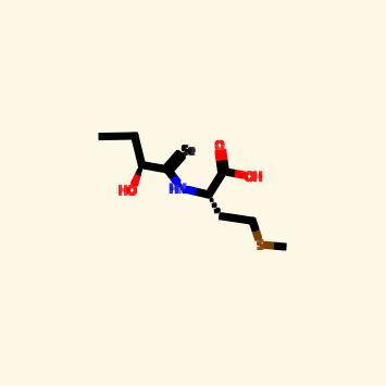 CC[C@H](O)C(=[Se])N[C@@H](CCSC)C(=O)O